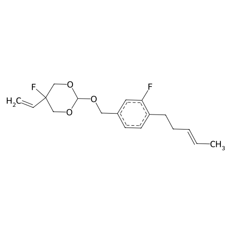 C=CC1(F)COC(OCc2ccc(CC/C=C/C)c(F)c2)OC1